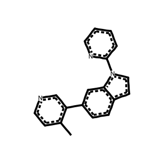 Cc1ccncc1-c1ccc2ccn(-c3ccccn3)c2c1